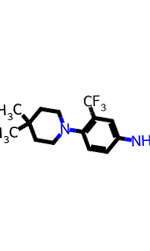 CC1(C)CCN(c2ccc(N)cc2C(F)(F)F)CC1